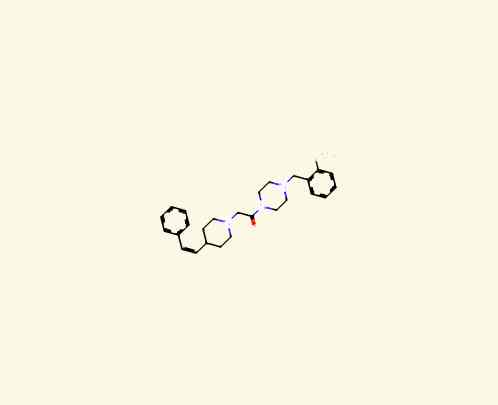 COc1ccccc1CN1CCN(C(=O)CN2CCC(/C=C\c3ccccc3)CC2)CC1